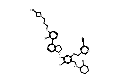 N#Cc1cncc(COc2cc(O[C@H]3CCc4c(-c5cccc(OCCCN6CC(O)C6)c5Cl)cccc43)c(Cl)cc2CN[C@@H]2CCCC[C@@H]2O)c1